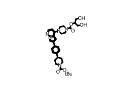 CC(C)(C)OC(=O)N1CCC(c2ccc(-c3cc4c(N5CCN(C(=O)OC(CO)CO)CC5)ccnn4c3)cc2)CC1